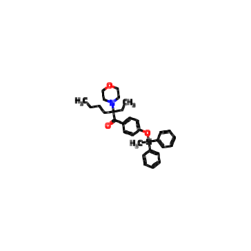 CCCCC(CC)(C(=O)c1ccc(O[Si](C)(c2ccccc2)c2ccccc2)cc1)N1CCOCC1